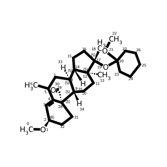 CO[C@H]1C=C2C(C)C[C@@H]3[C@H](CC[C@@]4(C)[C@H]3CC[C@]4(C)OC3(OC)CCCCC3)[C@@]2(C=O)CC1